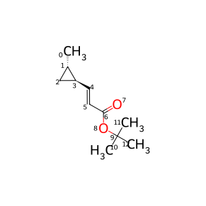 C[C@H]1C[C@@H]1/C=C/C(=O)OC(C)(C)C